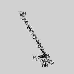 C=CC(=O)O.CC(O)COC(C)CO.OCCOCCOCCOCCOCCOCCOCCOCCOCCO